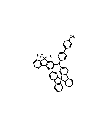 CC1C=CC(C2=CCC(N(C3=CCC4C(=C3)C3(C5=C(C=CCC5)C5C=CC=CC53)C3CCC=CC43)c3ccc4c(c3)C(C)(C)C3=C4CCC=C3)C=C2)=CC1